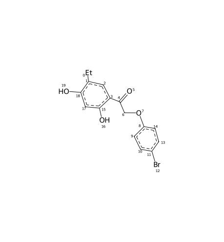 CCc1cc(C(=O)COc2ccc(Br)cc2)c(O)cc1O